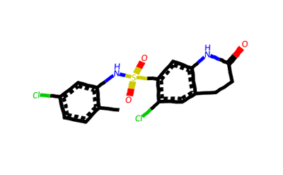 Cc1ccc(Cl)cc1NS(=O)(=O)c1cc2c(cc1Cl)CCC(=O)N2